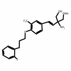 COCC(N)(/C=C/c1ccc(OCCCc2ccccc2F)c(C(F)(F)F)c1)CO